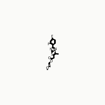 CON=COC(=O)Cc1sc2nc(-c3ccc(F)cc3F)nn2c1C